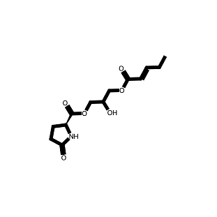 CCC=CC(=O)OCC(O)COC(=O)[C@@H]1CCC(=O)N1